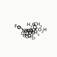 CC1(C)CC[C@]2(C(=O)O)CC[C@]3(C)C(=CCC4[C@@]5(C)CC(C(=O)NCCc6ccc(F)cc6)C(=O)C(C)(C)C5CC[C@]43C)C2C1